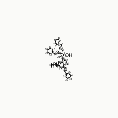 O[C@H]1[C@H](COCc2ccccc2)[C@@H](OCc2ccccc2)C[C@@H]1n1cnc2c(OCc3ccccc3)nc(NPI)nc21